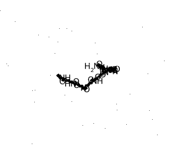 C#CCNC(=O)CCCCCNC(=O)OCCCN(C)C(=O)CCCCC(=O)NCCOCCOc1nc(N(C)CC(N)=O)nc(N2CCN(P(C)(=O)N(C)C)CC2)n1